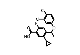 CC(Oc1ccc(Cl)c(Cl)c1)c1cc(F)c(C(=O)O)cc1C1CC1